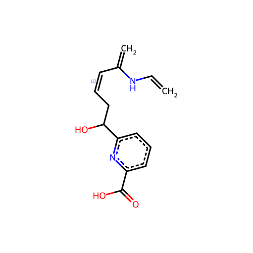 C=CNC(=C)/C=C\CC(O)c1cccc(C(=O)O)n1